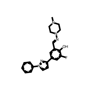 CN1CCN(N=Cc2cc(-c3ccn(-c4ccccc4)n3)cc(F)c2O)CC1